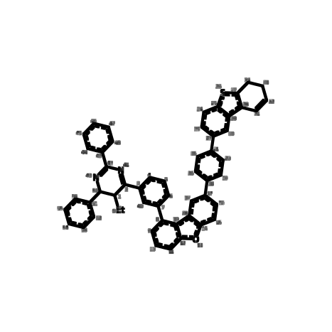 CCC1C(c2cccc(-c3cccc4oc5ccc(-c6ccc(-c7ccc8sc9c(c8c7)C=CCC9)cc6)cc5c34)c2)=NC(c2ccccc2)=NC1c1ccccc1